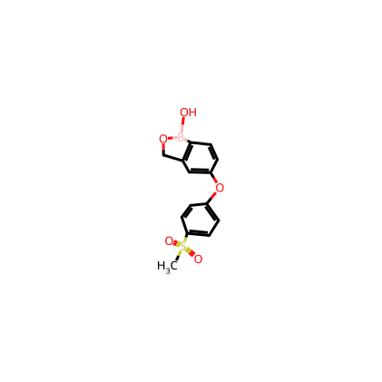 CS(=O)(=O)c1ccc(Oc2ccc3c(c2)COB3O)cc1